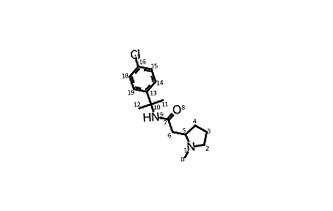 CN1CCCC1CC(=O)NC(C)(C)c1ccc(Cl)cc1